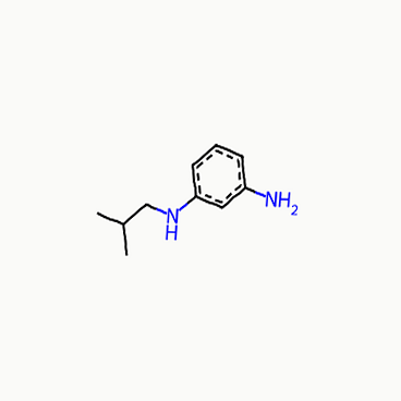 CC(C)CNc1cccc(N)c1